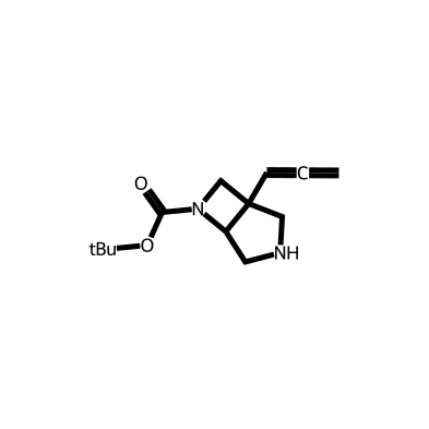 C=C=CC12CNCC1N(C(=O)OC(C)(C)C)C2